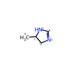 CC1[C]N=CN1